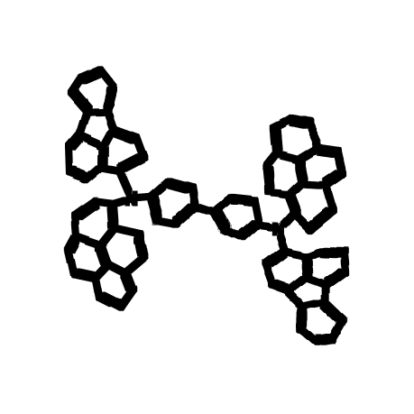 c1ccc2c(c1)-c1cccc3c(N(c4ccc(-c5ccc(N(c6ccc7c8c(cccc68)-c6ccccc6-7)c6ccc7ccc8cccc9ccc6c7c89)cc5)cc4)c4ccc5ccc6cccc7ccc4c5c67)ccc-2c13